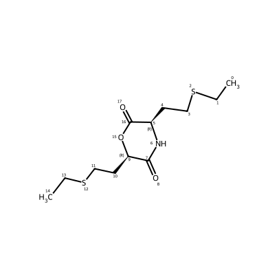 CCSCC[C@H]1NC(=O)[C@@H](CCSCC)OC1=O